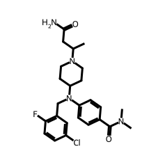 CC(CC(N)=O)N1CCC(N(Cc2cc(Cl)ccc2F)c2ccc(C(=O)N(C)C)cc2)CC1